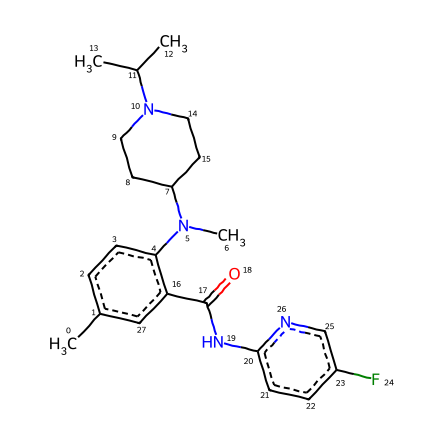 Cc1ccc(N(C)C2CCN(C(C)C)CC2)c(C(=O)Nc2ccc(F)cn2)c1